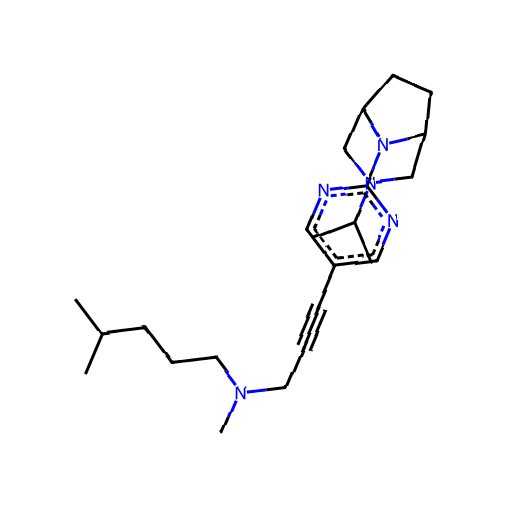 CC(C)CCCN(C)CC#Cc1cnc(N2C3CCC2CN(C(C)C)C3)nc1